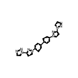 c1cn(-c2ccn(-c3ccc(-c4ccc(-n5ccc(-n6ccnn6)n5)cc4)cc3)n2)nn1